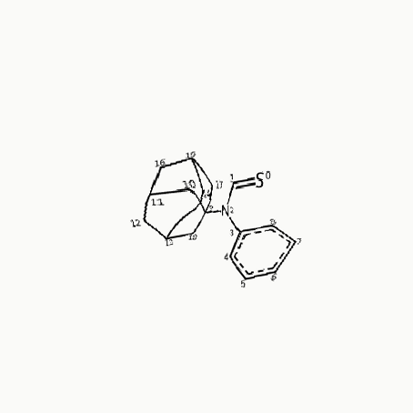 S=[C]N(c1ccccc1)C12CC3CC(CC(C3)C1)C2